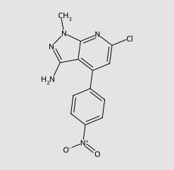 Cn1nc(N)c2c(-c3ccc([N+](=O)[O-])cc3)cc(Cl)nc21